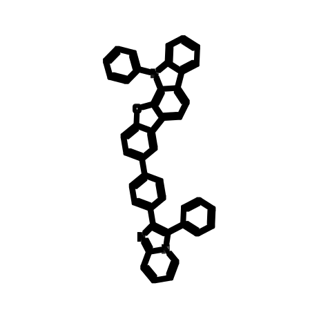 c1ccc(-c2c(-c3ccc(-c4ccc5oc6c(ccc7c8ccccc8n(-c8ccccc8)c76)c5c4)cc3)nc3ccccn23)cc1